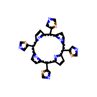 C1=Cc2nc1c(-c1cncs1)c1ccc([nH]1)c(-c1cncs1)c1nc(c(-c3cncs3)c3ccc([nH]3)c2-c2cncs2)C=C1